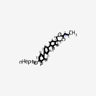 C/C=C/C1OCC(c2ccc(-c3ccc(-c4ccc(OCCCCCCC)c(F)c4F)cc3)c(F)c2F)CO1